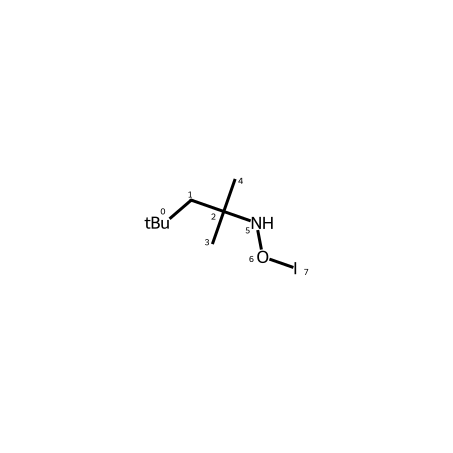 CC(C)(C)CC(C)(C)NOI